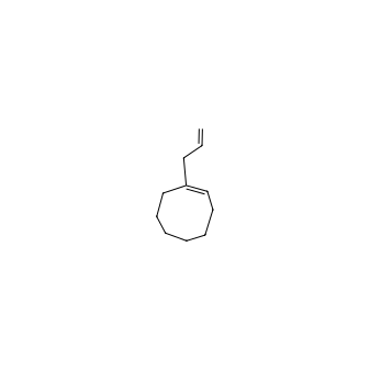 C=CCC1=CCCCCCC1